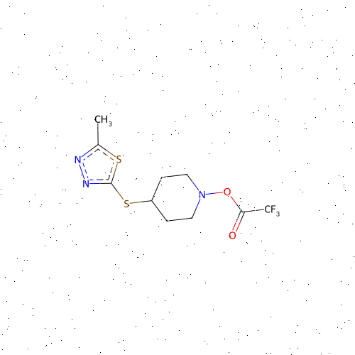 Cc1nnc(SC2CCN(OC(=O)C(F)(F)F)CC2)s1